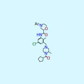 CC(=O)N1CCOC(C(=O)Nc2cc(Cl)cc(CN3CCN(C(=O)C4CCCC4)C(C)C3)c2C)C1